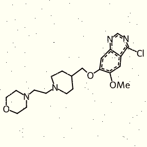 COc1cc2c(Cl)ncnc2cc1OCC1CCN(CCN2CCOCC2)CC1